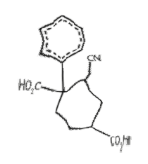 N#CC1CC(C(=O)O)CCC1(C(=O)O)c1ccccc1